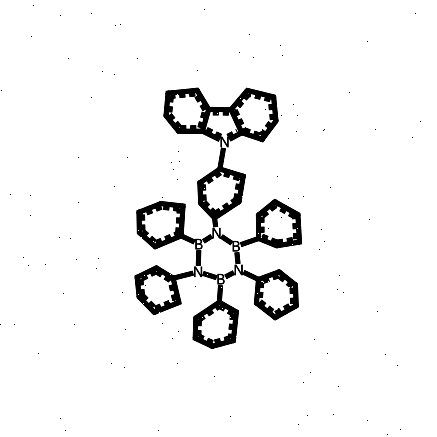 c1ccc(B2N(c3ccccc3)B(c3ccccc3)N(c3ccc(-n4c5ccccc5c5ccccc54)cc3)B(c3ccccc3)N2c2ccccc2)cc1